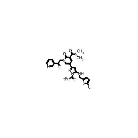 CN(C)C(=O)c1cc(-c2cc(NCc3ccc(Cl)s3)n(C(=O)C(C)(C)C)n2)cn(CC(=O)c2cccnc2)c1=O